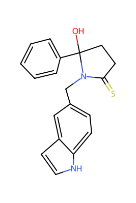 OC1(c2ccccc2)CCC(=S)N1Cc1ccc2[nH]ccc2c1